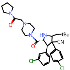 CC(C)(C)CC1N[C@@H](C(=O)N2CCN(CC(=O)N3CCCC3)CC2)[C@H](c2cccc(Cl)c2)C1(C#N)c1ccc(Cl)cc1